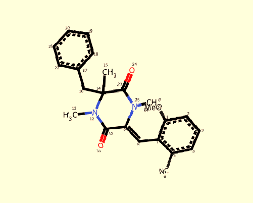 COc1cccc(C#N)c1/C=C1/C(=O)N(C)C(C)(Cc2ccccc2)C(=O)N1C